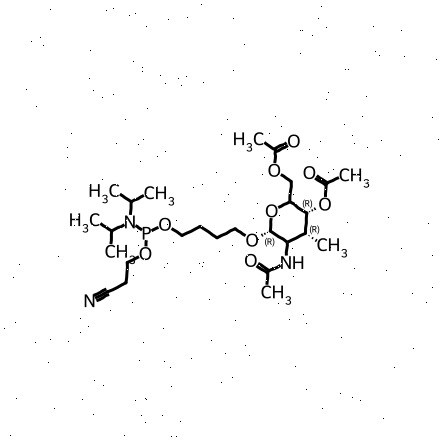 CC(=O)NC1[C@H](OCCCCOP(OCCC#N)N(C(C)C)C(C)C)OC(COC(C)=O)[C@H](OC(C)=O)[C@@H]1C